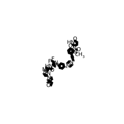 Cn1c(=O)n(C2CCC(=O)NC2=O)c2cccc(C#CCN3CCN(C[C@H]4CC[C@H](n5cc(NC(=O)c6cnn7ccc(N8CC[C@]9(CCOC9)C8)nc67)c(C(F)F)n5)CC4)CC3)c21